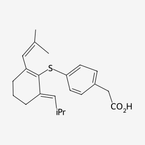 CC(C)=CC1=C(Sc2ccc(CC(=O)O)cc2)/C(=C/C(C)C)CCC1